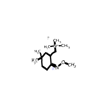 CO/N=C1/CCC(C)(C)CC1C[N+](C)(C)C.[I-]